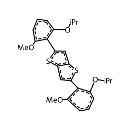 COc1cccc(OC(C)C)c1-c1cc2sc(-c3c(OC)cccc3OC(C)C)cc2s1